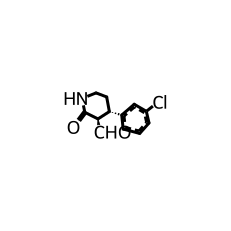 O=C[C@H]1C(=O)NCC[C@@H]1c1cccc(Cl)c1